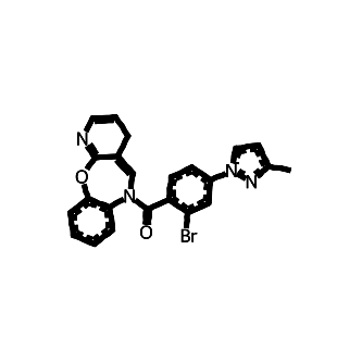 Cc1ccn(-c2ccc(C(=O)N3C=C4CC=CN=C4Oc4ccccc43)c(Br)c2)n1